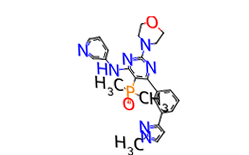 Cn1ccc(-c2cccc(-c3nc(N4CCOCC4)nc(Nc4cccnc4)c3P(C)(C)=O)c2)n1